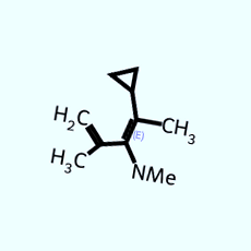 C=C(C)/C(NC)=C(/C)C1CC1